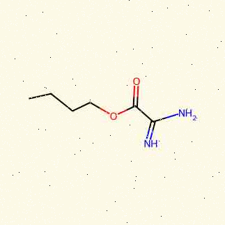 CCCCOC(=O)C(=N)N